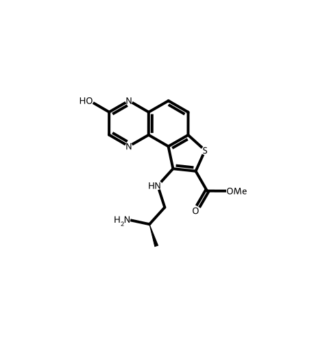 COC(=O)c1sc2ccc3nc(O)cnc3c2c1NC[C@@H](C)N